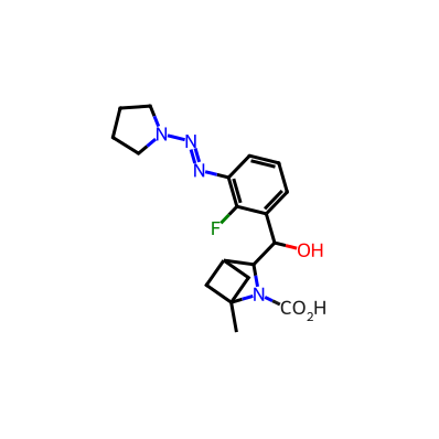 CC12CC(C1)C(C(O)c1cccc(/N=N/N3CCCC3)c1F)N2C(=O)O